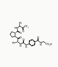 CC(C)C(NC(=O)[C@@H]1CCCN1C(=O)[C@@H](NC(=O)Nc1ccc(C(=O)NCC(=O)O)cc1)C(C)C)C(=O)C(F)(F)F